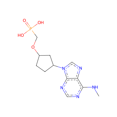 CNc1ncnc2c1ncn2C1CCC(OCP(=O)(O)O)C1